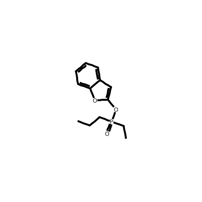 CCCP(=O)(CC)Oc1cc2ccccc2o1